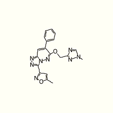 Cc1cc(-c2nnc3cc(-c4ccccc4)c(OCc4ncn(C)n4)nn23)no1